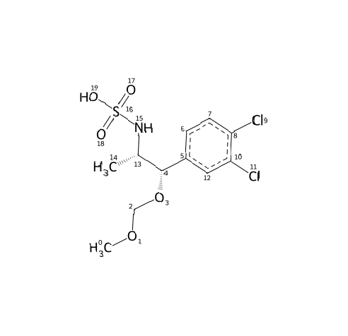 COCO[C@@H](c1ccc(Cl)c(Cl)c1)[C@H](C)NS(=O)(=O)O